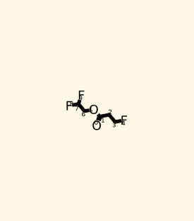 O=C(CCF)OCC(F)F